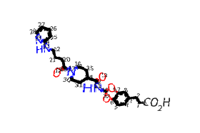 O=C(O)CCc1ccc2c(c1)OC(NC(=O)C1CCN(C(=O)CCCNc3ccccn3)CC1)O2